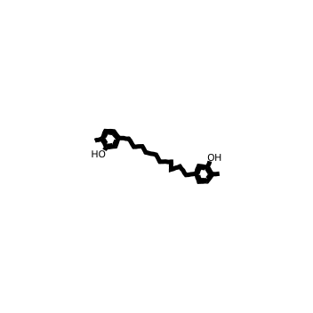 Cc1ccc(CCCCCCCCCCc2ccc(C)c(O)c2)cc1O